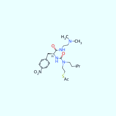 CC(=O)SCCN(CCC(C)C)C(=O)N[C@@H](Cc1ccc([N+](=O)[O-])cc1)C(=O)NCCN(C)C